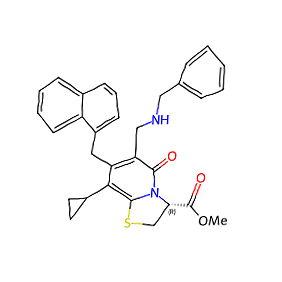 COC(=O)[C@@H]1CSc2c(C3CC3)c(Cc3cccc4ccccc34)c(CNCc3ccccc3)c(=O)n21